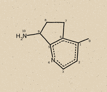 Cc1ccnc2c1CCC2N